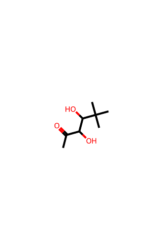 CC(=O)C(O)C(O)C(C)(C)C